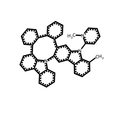 Cc1cccc2c3cc4c(cc3n(-c3cccc[n+]3C)c12)c1ccccc1c1ccccc1c1cccc2c3ccccc3n4c12